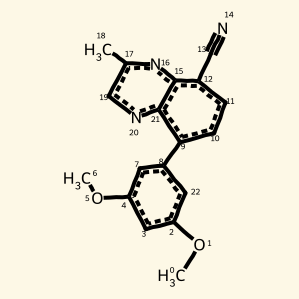 COc1cc(OC)cc(-c2ccc(C#N)c3nc(C)cnc23)c1